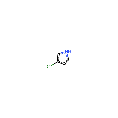 Clc1[c]c[nH]c1